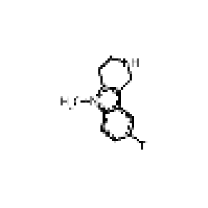 Cn1c2c(c3cc(F)ccc31)CNCC2